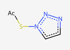 CC(=O)Sn1ccnn1